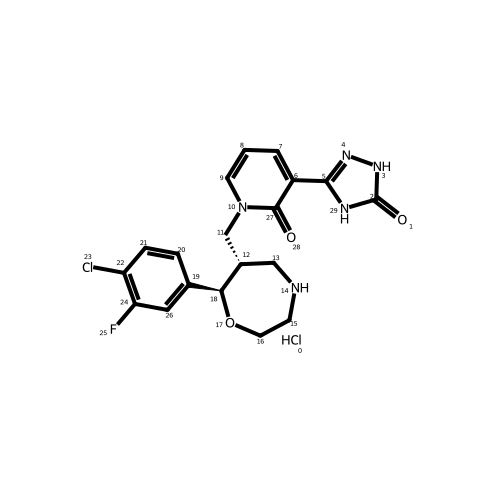 Cl.O=c1[nH]nc(-c2cccn(C[C@@H]3CNCCO[C@H]3c3ccc(Cl)c(F)c3)c2=O)[nH]1